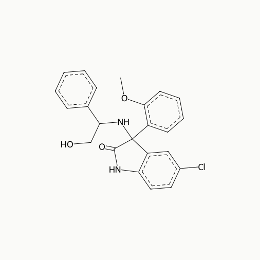 COc1ccccc1C1(NC(CO)c2ccccc2)C(=O)Nc2ccc(Cl)cc21